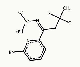 CC(F)(F)CC(=N[S+]([O-])C(C)(C)C)c1cccc(Br)n1